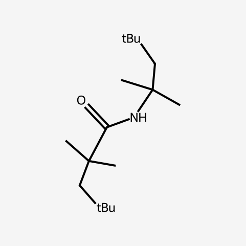 CC(C)(C)CC(C)(C)NC(=O)C(C)(C)CC(C)(C)C